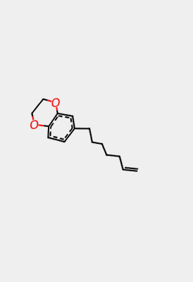 C=CCCCCCc1ccc2c(c1)OCCO2